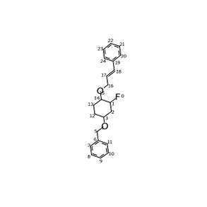 FC1CC(OCc2ccccc2)CCC1OCC=Cc1ccccc1